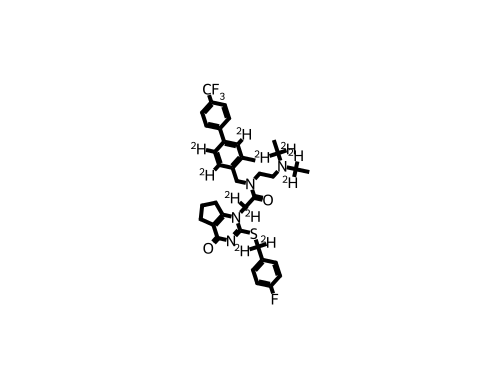 [2H]c1c([2H])c(-c2ccc(C(F)(F)F)cc2)c([2H])c(C)c1CN(CCN(C([2H])([2H])C)C([2H])([2H])C)C(=O)C([2H])([2H])n1c(SC([2H])([2H])c2ccc(F)cc2)nc(=O)c2c1CCC2